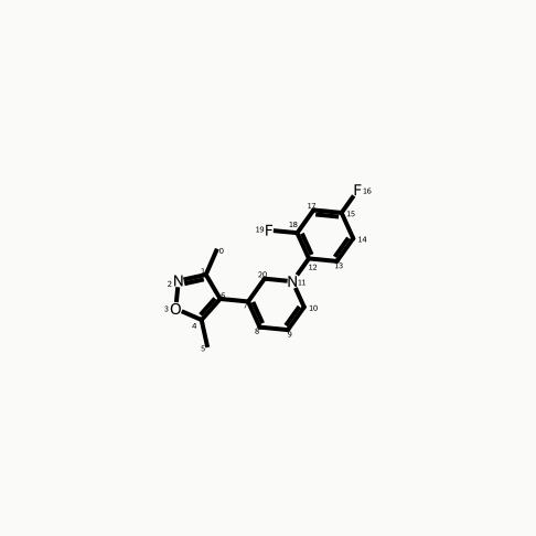 Cc1noc(C)c1C1=CC=CN(c2ccc(F)cc2F)C1